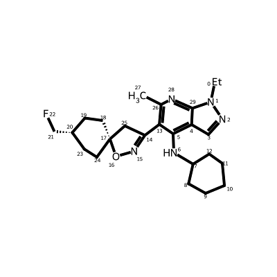 CCn1ncc2c(NC3CCCCC3)c(C3=NO[C@]4(CC[C@@H](CF)CC4)C3)c(C)nc21